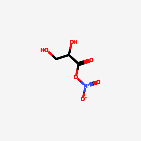 O=C(O[N+](=O)[O-])C(O)CO